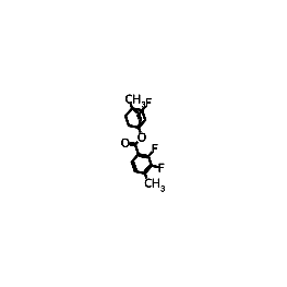 Cc1ccc(C(=O)OC23C=C(F)C(C)(CC2)CC3)c(F)c1F